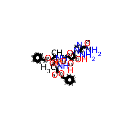 C[C@H](NP(=O)(N[C@@H](C)C(=O)OCc1ccccc1)OC[C@H]1O[C@@H](n2cnc(C(N)=O)c2N)[C@H](O)[C@@H]1O)C(=O)OCc1ccccc1